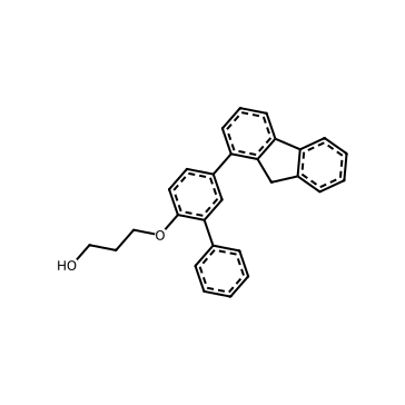 OCCCOc1ccc(-c2cccc3c2Cc2ccccc2-3)cc1-c1ccccc1